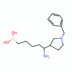 NC(CCCCB(O)O)C1CCN(Cc2ccccc2)C1